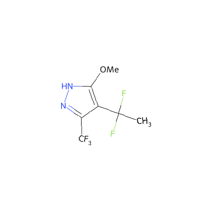 COc1[nH]nc(C(F)(F)F)c1C(C)(F)F